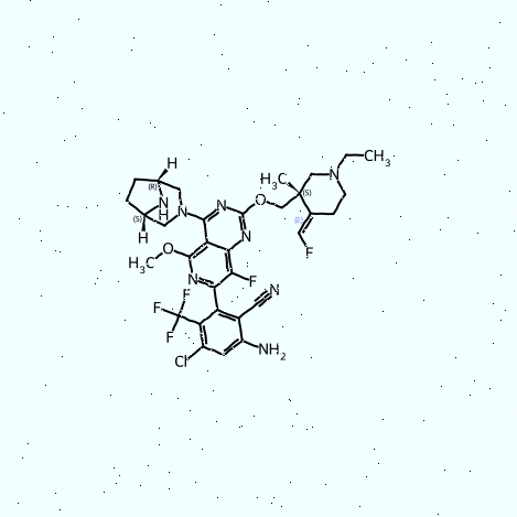 CCN1CC/C(=C\F)[C@](C)(COc2nc(N3C[C@H]4CC[C@@H](C3)N4)c3c(OC)nc(-c4c(C#N)c(N)cc(Cl)c4C(F)(F)F)c(F)c3n2)C1